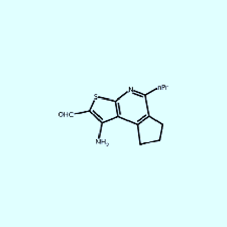 CCCc1nc2sc(C=O)c(N)c2c2c1CCC2